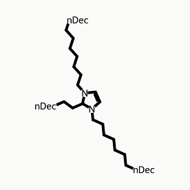 CCCCCCCCCCCCCCCCCN1C=CN(CCCCCCCCCCCCCCCCC)C1CCCCCCCCCCCC